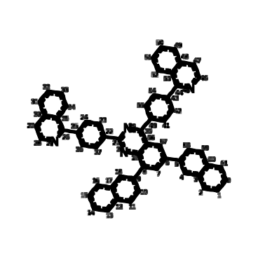 c1ccc2cc(-c3cc(-c4ccc5ccccc5c4)c4nc(-c5ccc(-c6nccc7ccccc67)cc5)nc(-c5ccc(-c6nccc7ccccc67)cc5)c4c3)ccc2c1